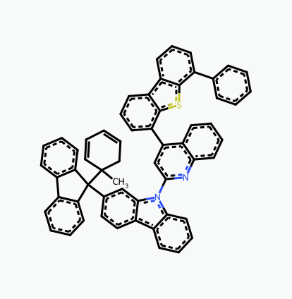 CC1(C2(c3ccc4c5ccccc5n(-c5cc(-c6cccc7c6sc6c(-c8ccccc8)cccc67)c6ccccc6n5)c4c3)c3ccccc3-c3ccccc32)C=CC=CC1